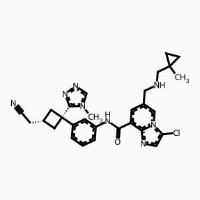 Cn1cnnc1[C@]1(c2cccc(NC(=O)c3cc(CNCC4(C)CC4)cn4c(Cl)cnc34)c2)C[C@H](CC#N)C1